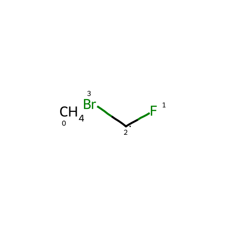 C.F[CH]Br